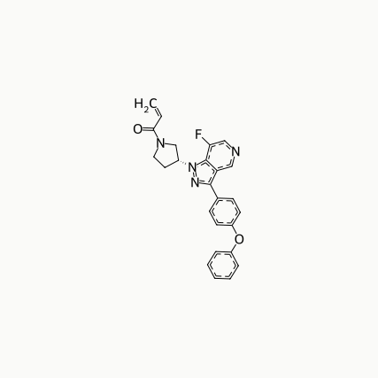 C=CC(=O)N1CC[C@@H](n2nc(-c3ccc(Oc4ccccc4)cc3)c3cncc(F)c32)C1